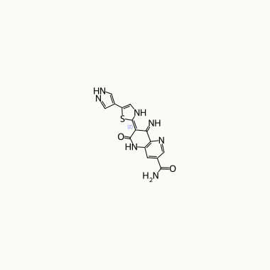 N=C1/C(=C2\NC=C(c3cn[nH]c3)S2)C(=O)Nc2cc(C(N)=O)cnc21